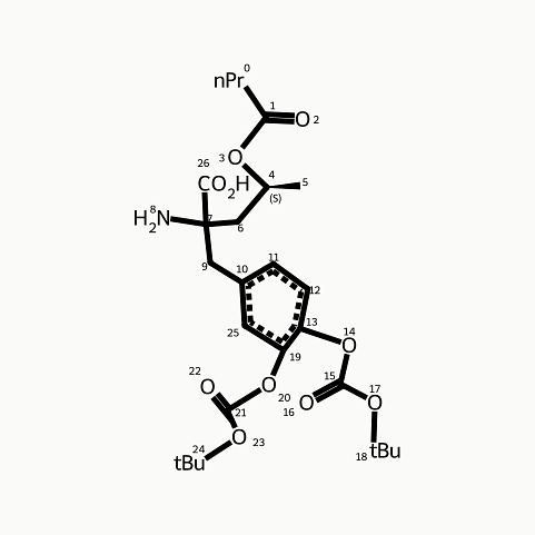 CCCC(=O)O[C@@H](C)CC(N)(Cc1ccc(OC(=O)OC(C)(C)C)c(OC(=O)OC(C)(C)C)c1)C(=O)O